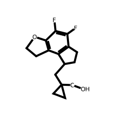 OCC1(CC2CCc3c(F)c(F)c4c(c32)CCO4)CC1